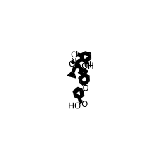 O=C(O)c1cccc(OC2CCC3(CC2)CC(O)(c2c(-c4c(Cl)cccc4Cl)noc2C2CC2)C3)c1